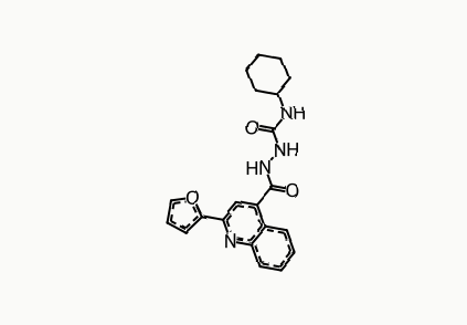 O=C(NNC(=O)c1cc(-c2ccco2)nc2ccccc12)NC1CCCCC1